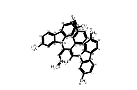 C=N/C=C(\C(=C(/C)n1c2cc(C)ccc2c2ccc(C)cc21)c1cccc(C#N)c1)n1c2cc(C)ccc2c2ccc(C)cc21